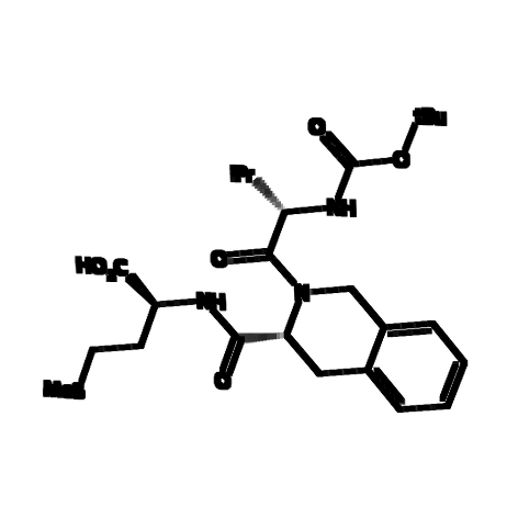 CSCC[C@H](NC(=O)[C@H]1Cc2ccccc2CN1C(=O)[C@@H](NC(=O)OC(C)(C)C)C(C)C)C(=O)O